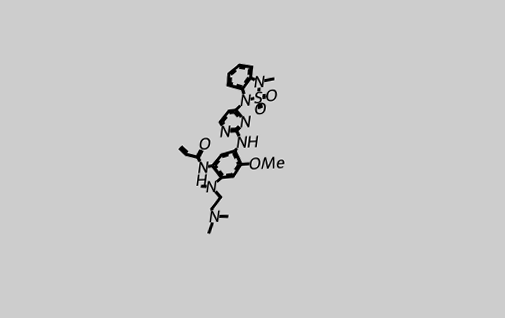 C=CC(=O)Nc1cc(Nc2nccc(N3c4ccccc4N(C)S3(=O)=O)n2)c(OC)cc1N(C)CCN(C)C